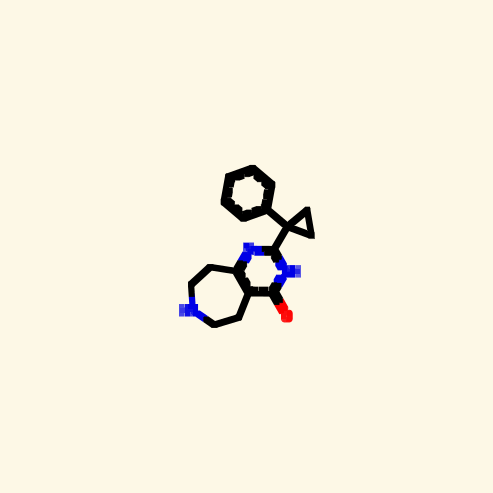 O=c1[nH]c(C2(c3ccccc3)CC2)nc2c1CCNCC2